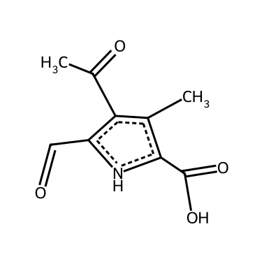 CC(=O)c1c(C=O)[nH]c(C(=O)O)c1C